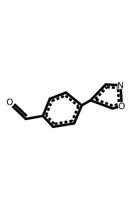 O=Cc1ccc(-c2cnoc2)cc1